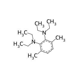 CCN(CC)c1c(C)ccc(C)c1N(CC)CC